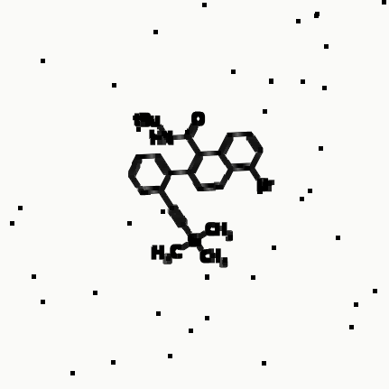 CC(C)(C)NC(=O)c1c(-c2ccccc2C#C[Si](C)(C)C)ccc2c(Br)cccc12